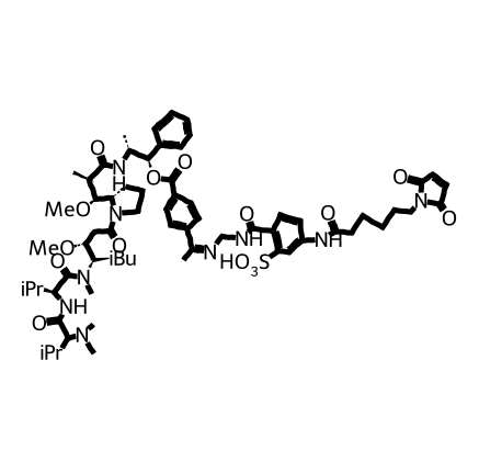 CC[C@H](C)[C@@H]([C@@H](CC(=O)N1CCC[C@H]1[C@H](OC)[C@@H](C)C(=O)N[C@H](C)[C@@H](OC(=O)c1ccc(/C(C)=N\CNC(=O)c2ccc(NC(=O)CCCCCN3C(=O)C=CC3=O)cc2S(=O)(=O)O)cc1)c1ccccc1)OC)N(C)C(=O)[C@@H](NC(=O)C(C(C)C)N(C)C)C(C)C